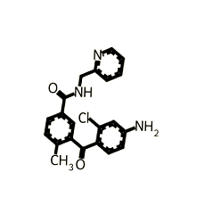 Cc1ccc(C(=O)NCc2ccccn2)cc1C(=O)c1ccc(N)cc1Cl